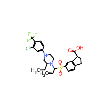 C=CC(N1CCN(c2ccc(C(F)(F)F)c(Cl)c2)CC1CC)S(=O)(=O)c1ccc2c(c1)C(C(=O)O)CC2